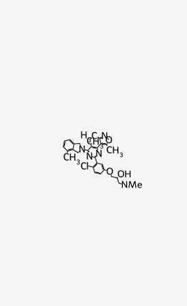 CNC[C@@H](O)COc1ccc(Cl)c(-c2nc(-c3c(C)noc3C)c(C)c(N3Cc4cccc(C)c4C3)n2)c1